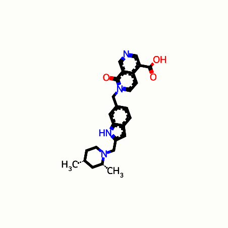 C[C@@H]1CCN(Cc2cc3ccc(Cn4ccc5c(C(=O)O)cncc5c4=O)cc3[nH]2)[C@H](C)C1